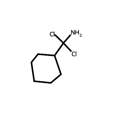 NC(Cl)(Cl)C1CCCCC1